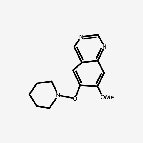 COc1cc2ncncc2cc1ON1CCCCC1